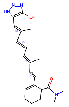 CC(/C=C/C1=CCCCC1C(=O)N(C)C)=C\C=C\C(C)=C\c1[nH]nnc1O